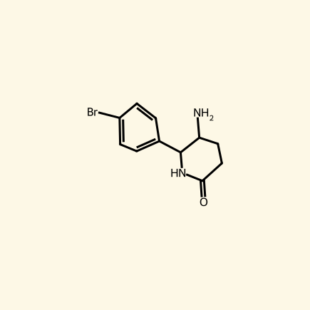 NC1CCC(=O)NC1c1ccc(Br)cc1